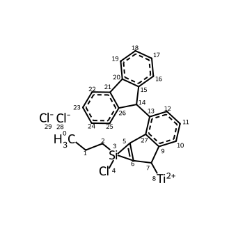 CCC[Si]1(Cl)C2=C1[CH]([Ti+2])c1cccc(C3c4ccccc4-c4ccccc43)c12.[Cl-].[Cl-]